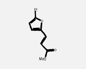 CCc1ccc(/C=C/C(=O)OC)o1